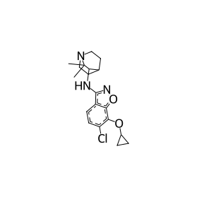 CC1(C)C(Nc2noc3c(OC4CC4)c(Cl)ccc23)C2CCN1CC2